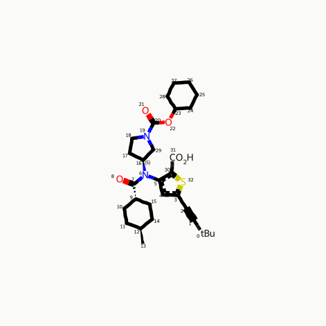 CC(C)(C)C#Cc1cc(N(C(=O)[C@H]2CC[C@H](C)CC2)[C@H]2CCN(C(=O)OC3CCCCC3)C2)c(C(=O)O)s1